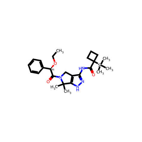 CCO[C@@H](C(=O)N1Cc2c(NC(=O)C3([Si](C)(C)C)CCC3)n[nH]c2C1(C)C)c1ccccc1